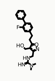 CN(C)C(=N)NCc1noc(CCc2ccc(-c3ccccc3)c(F)c2)c1CO